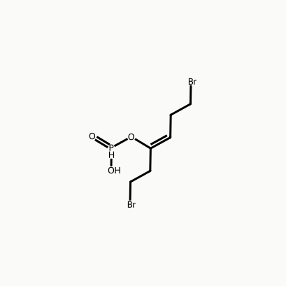 O=[PH](O)OC(=CCCBr)CCBr